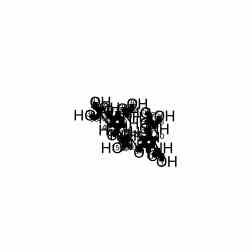 O=C(CO)Nc1c(I)c(C(=O)NCC(CO)(CO)CNC(=O)c2c(I)c(NC(=O)CO)c(I)c(C(=O)NC(CO)C(O)CO)c2I)c(I)c(C(=O)NC(CO)C(O)CO)c1I